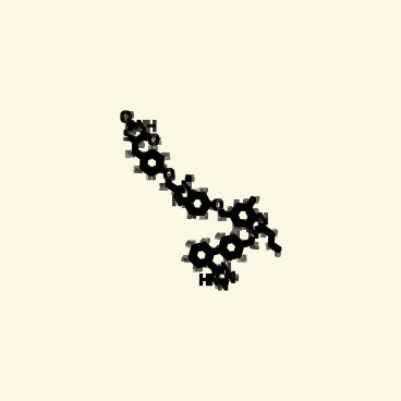 CCCc1nc2c(C)cc(COc3ccc4nc(COc5ccc(CC6SC(=O)NC6=O)cc5)n(C)c4c3)cc2n1Cc1ccc(-c2ccccc2-c2nnn[nH]2)cc1